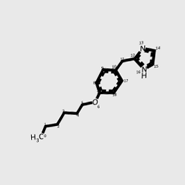 CCCCCCOc1ccc(Cc2ncc[nH]2)cc1